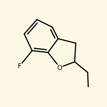 CCC1Cc2cccc(F)c2O1